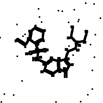 C=Cc1ccccc1S(=O)(=O)Nc1ccc2[nH]cc(CCN(CC)CC)c2c1